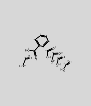 O=C(O)c1ccccc1.O=CO.O=CO.O=CO.O=CO.O=CO